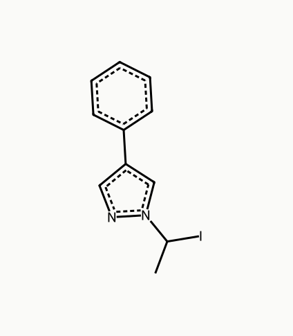 CC(I)n1cc(-c2ccccc2)cn1